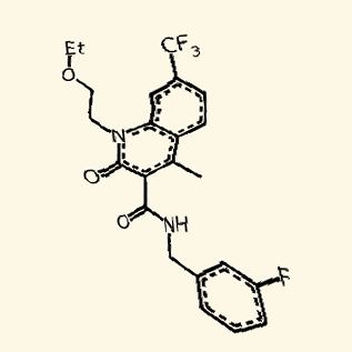 CCOCCn1c(=O)c(C(=O)NCc2cccc(F)c2)c(C)c2ccc(C(F)(F)F)cc21